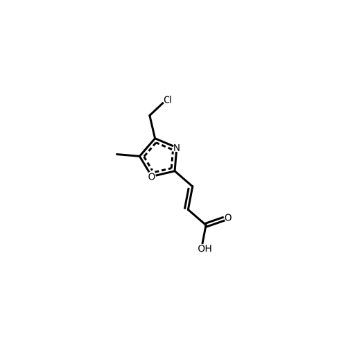 Cc1oc(/C=C/C(=O)O)nc1CCl